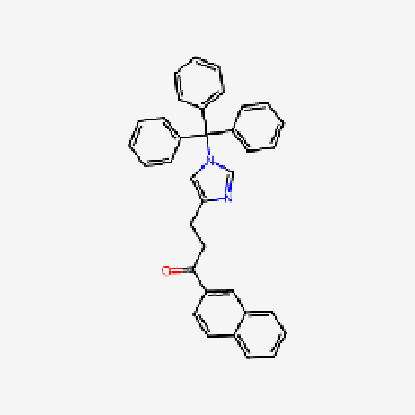 O=C(CCc1cn(C(c2ccccc2)(c2ccccc2)c2ccccc2)cn1)c1ccc2ccccc2c1